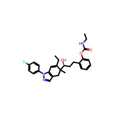 CCNC(=O)Oc1ccccc1CC[C@H](O)C1(C)Cc2cnn(-c3ccc(F)cc3)c2C=C1CC